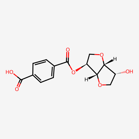 O=C(O)c1ccc(C(=O)O[C@H]2CO[C@H]3[C@@H]2OC[C@H]3O)cc1